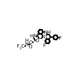 O=C(CC(c1ccc(F)cc1)c1ccc(F)cc1)Nc1cccc(F)c1CC[C@@H]1CNC[C@@H](COC(=O)NCC(F)(F)F)O1